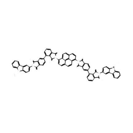 CCCn1c2ccccc2c2cc(N3C(=O)c4cccc(-c5ccc6c(c5)C(=O)N(c5ccc7ccc8c(N9C(=O)c%10cccc(-c%11ccc%12c(c%11)C(=O)N(c%11ccc%13c(c%11)c%11ccccc%11n%13CC)C%12=O)c%10C9=O)ccc9ccc5c7c98)C6=O)c4C3=O)ccc21